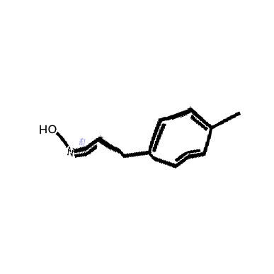 Cc1ccc(C/C=N/O)cc1